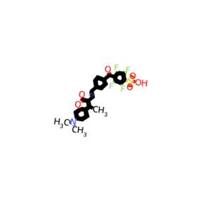 Cc1c(/C=C/c2ccc(C(=O)c3c(F)c(F)c(S(=O)(=O)O)c(F)c3F)cc2)c(=O)oc2cc(N(C)C)ccc12